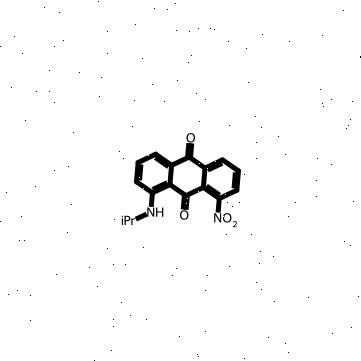 CC(C)Nc1cccc2c1C(=O)c1c(cccc1[N+](=O)[O-])C2=O